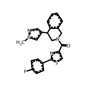 Cn1cc(C2CN(C(=O)c3csc(-c4ccc(F)cc4)n3)Cc3ccccc32)cn1